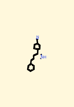 CNC.N#Cc1ccc(C=CC=Cc2ccccc2)cc1